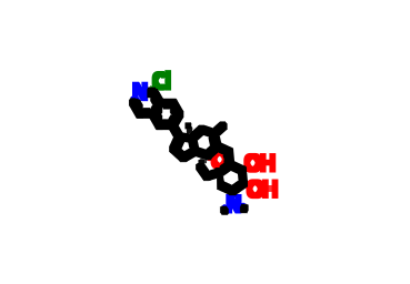 CC1=C2C=C3[C@@H](O)[C@H](O)[C@@H](N(C)C)C[C@]34CC[C@]2(O4)C2CC=C(c3ccc4c(Cl)nccc4c3)[C@@]2(C)C1